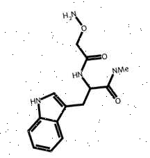 CNC(=O)C(Cc1c[nH]c2ccccc12)NC(=O)CON